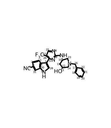 N#Cc1ccc2c(-c3nc(N[C@H]4C[C@H](O)CN(Cc5ccccc5)C4)ncc3C(F)(F)F)c[nH]c2c1